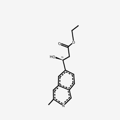 CCOC(=O)C[C@H](O)c1ccc2cnc(C)cc2c1